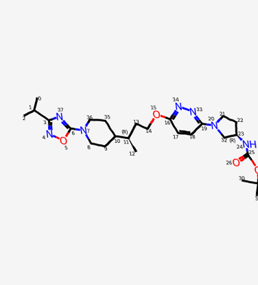 CC(C)c1noc(N2CCC([C@H](C)CCOc3ccc(N4CC[C@@H](NC(=O)OC(C)(C)C)C4)nn3)CC2)n1